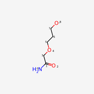 NC(=O)COCCC[O]